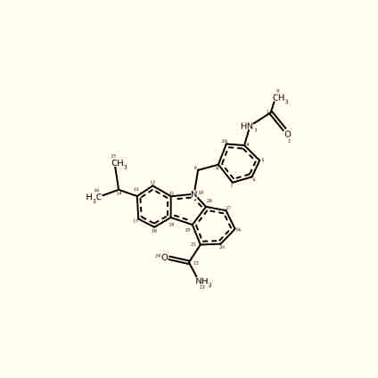 CC(=O)Nc1cccc(Cn2c3cc(C(C)C)c[c]c3c3c(C(N)=O)cccc32)c1